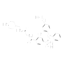 Cl.O=C(CNC(=O)c1ccc(S(=O)(=O)Nc2ccccc2Oc2ccc(Cl)cc2Cl)cc1)NCC1CCNCC1